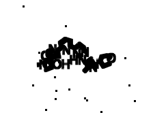 Cc1nn(C2CCOCC2)cc1Nc1nccc(-c2cccc(-c3cc([C@]4(O)CCN(C)C4=O)on3)n2)n1